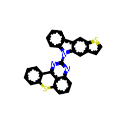 c1ccc2c(c1)Sc1cccc3nc(-n4c5ccccc5c5cc6sccc6cc54)nc-2c13